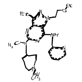 CCOCCn1nc(CC)c2nc(N(C)C3CCN(C)CC3)nc(Nc3ccccn3)c21